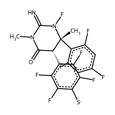 CN1C(=N)N(F)[C@](C)(c2c(F)cc(F)cc2F)[C@H](c2c(F)c(F)c([S])c(F)c2F)C1=O